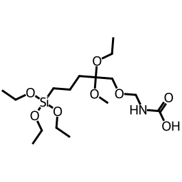 CCOC(CCC[Si](OCC)(OCC)OCC)(COCNC(=O)O)OC